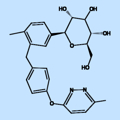 Cc1ccc(Oc2ccc(Cc3cc([C@@H]4O[C@H](CO)[C@@H](O)C(O)[C@H]4O)ccc3C)cc2)nn1